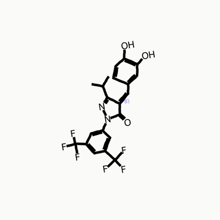 CC(C)C1=NN(c2cc(C(F)(F)F)cc(C(F)(F)F)c2)C(=O)/C1=C/c1ccc(O)c(O)c1